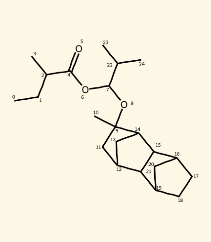 CCC(C)C(=O)OC(OC1(C)CC2CC1C1C3CCC(C3)C21)C(C)C